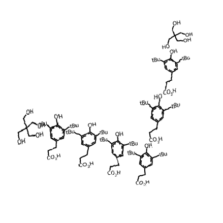 CC(C)(C)c1cc(CCC(=O)O)cc(C(C)(C)C)c1O.CC(C)(C)c1cc(CCC(=O)O)cc(C(C)(C)C)c1O.CC(C)(C)c1cc(CCC(=O)O)cc(C(C)(C)C)c1O.CC(C)(C)c1cc(CCC(=O)O)cc(C(C)(C)C)c1O.CC(C)(C)c1cc(CCC(=O)O)cc(C(C)(C)C)c1O.CC(C)(C)c1cc(CCC(=O)O)cc(C(C)(C)C)c1O.OCC(CO)(CO)CO.OCC(CO)(CO)CO